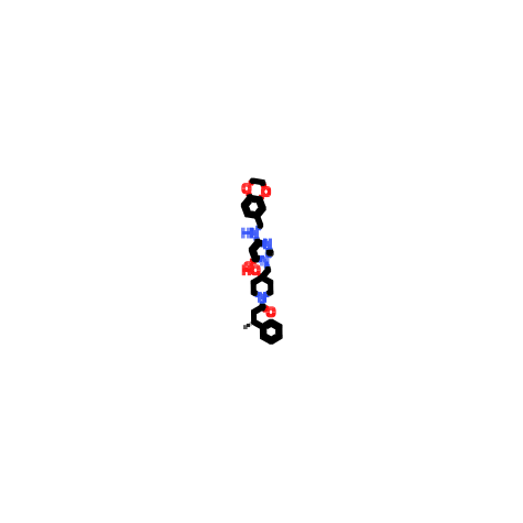 C[C@H](CC(=O)N1CCC(O)(Cn2cnc(NCc3ccc4c(c3)OCCO4)cc2=O)CC1)c1ccccc1